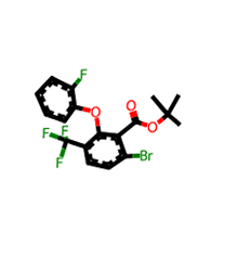 CC(C)(C)OC(=O)c1c(Br)ccc(C(F)(F)F)c1Oc1ccccc1F